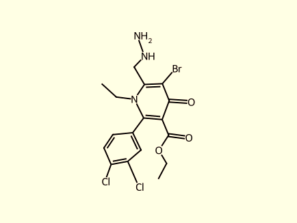 CCOC(=O)c1c(-c2ccc(Cl)c(Cl)c2)n(CC)c(CNN)c(Br)c1=O